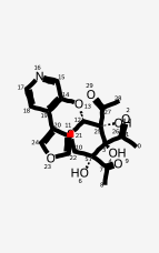 CC(=O)[C@]1(O)[C@@](O)(C(C)=O)CS[C@H](Oc2cnccc2-c2ccoc2)[C@@]1(O)C(C)=O